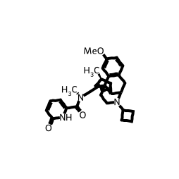 COc1ccc2c(c1)C13CCN(C4CCC4)C(C2)C12CCC(N(C)C(=O)c1cccc(=O)[nH]1)C3[C@@H](C)C2